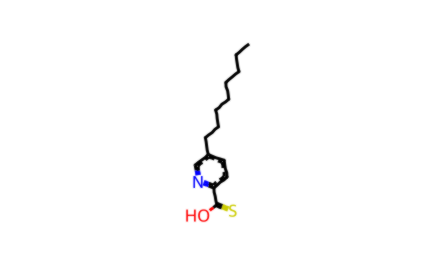 CCCCCCCCc1ccc(C(O)=S)nc1